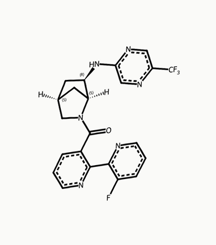 O=C(c1cccnc1-c1ncccc1F)N1C[C@H]2C[C@@H](Nc3cnc(C(F)(F)F)cn3)[C@@H]1C2